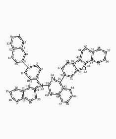 c1ccc2cc(-c3ccc4c(c3)c3c5ccccc5ccc3n4-c3nc(-c4ccc5c(c4)oc4c6ccccc6ccc54)c4ccccc4n3)ccc2c1